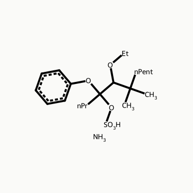 CCCCCC(C)(C)C(OCC)C(CCC)(Oc1ccccc1)OS(=O)(=O)O.N